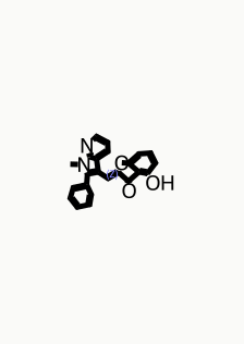 Cn1c(-c2ccccc2)c(/C=C2\Oc3cccc(O)c3C2=O)c2cccnc21